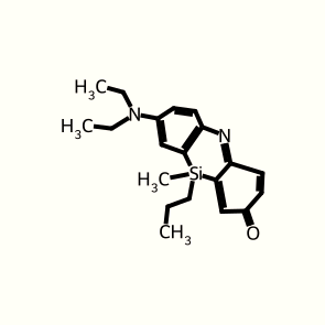 CCC[Si]1(C)C2=CC(=O)C=CC2=Nc2ccc(N(CC)CC)cc21